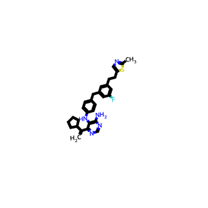 C=C(c1ncnc(N)c1Nc1ccc(Cc2cc(F)cc(CCc3cnc(C)s3)c2)cc1)C1CCCC1